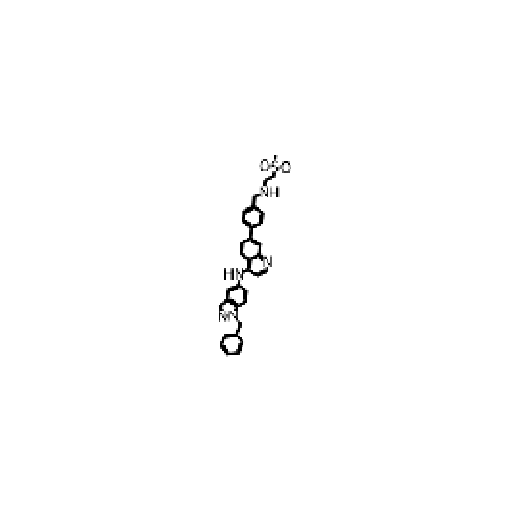 CS(=O)(=O)CCNCc1ccc(-c2ccc3c(Nc4ccc5c(cnn5Cc5ccccc5)c4)ccnc3c2)cc1